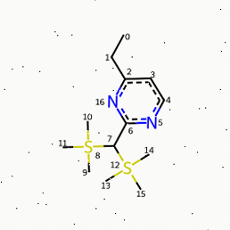 CCc1ccnc(C(S(C)(C)C)S(C)(C)C)n1